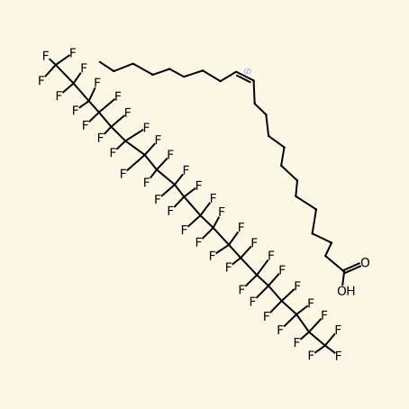 CCCCCCCC/C=C\CCCCCCCCCCCC(=O)O.FC(F)(F)C(F)(F)C(F)(F)C(F)(F)C(F)(F)C(F)(F)C(F)(F)C(F)(F)C(F)(F)C(F)(F)C(F)(F)C(F)(F)C(F)(F)C(F)(F)C(F)(F)C(F)(F)C(F)(F)C(F)(F)C(F)(F)C(F)(F)F